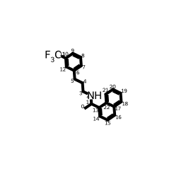 CC(NCCCc1cccc(C(F)(F)F)c1)c1cccc2ccccc12